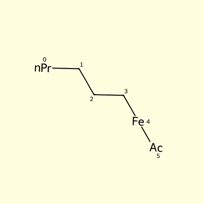 CCCCC[CH2][Fe][C](C)=O